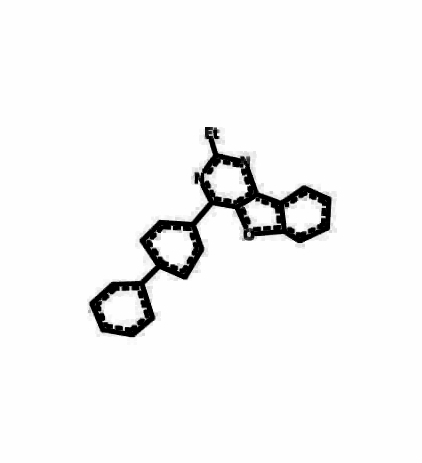 CCc1nc(-c2ccc(-c3ccccc3)cc2)c2oc3ccccc3c2n1